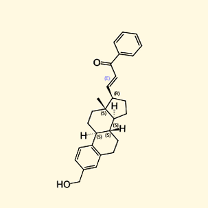 C[C@]12CC[C@@H]3c4ccc(CO)cc4CC[C@H]3[C@@H]1CC[C@@H]2/C=C/C(=O)c1ccccc1